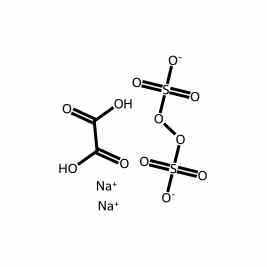 O=C(O)C(=O)O.O=S(=O)([O-])OOS(=O)(=O)[O-].[Na+].[Na+]